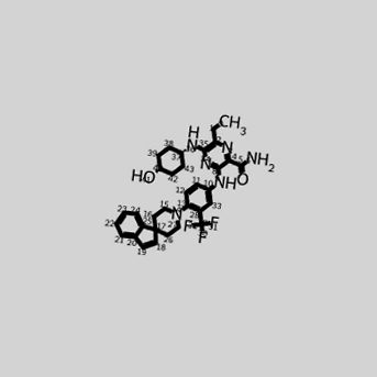 CCc1nc(C(N)=O)c(Nc2ccc(N3CCC4(C=Cc5ccccc54)CC3)c(C(F)(F)F)c2)nc1N[C@H]1CC[C@H](O)CC1